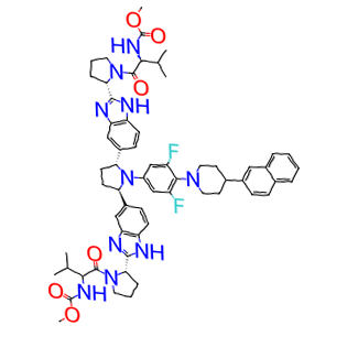 COC(=O)NC(C(=O)N1CCC[C@H]1c1nc2cc([C@H]3CC[C@H](c4ccc5[nH]c([C@@H]6CCCN6C(=O)[C@@H](NC(=O)OC)C(C)C)nc5c4)N3c3cc(F)c(N4CCC(c5ccc6ccccc6c5)CC4)c(F)c3)ccc2[nH]1)C(C)C